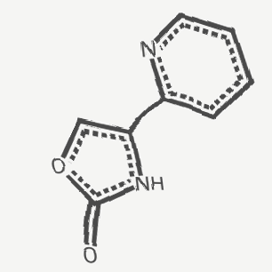 O=c1[nH]c(-c2ccccn2)co1